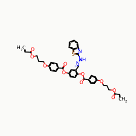 C=CC(=O)OCCCOc1ccc(C(=O)Oc2ccc(OC(=O)c3ccc(OCCCOC(=O)C=C)cc3)c(/C=N/Nc3nc4ccccc4s3)c2)cc1